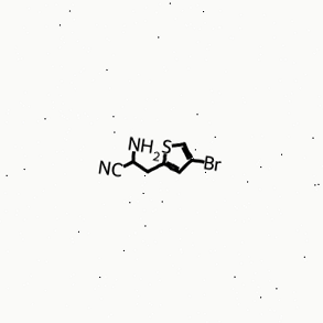 N#CC(N)Cc1cc(Br)cs1